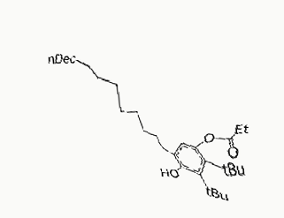 CCCCCCCCCCCCCCCCCCc1cc(OC(=O)CC)c(C(C)(C)C)c(C(C)(C)C)c1O